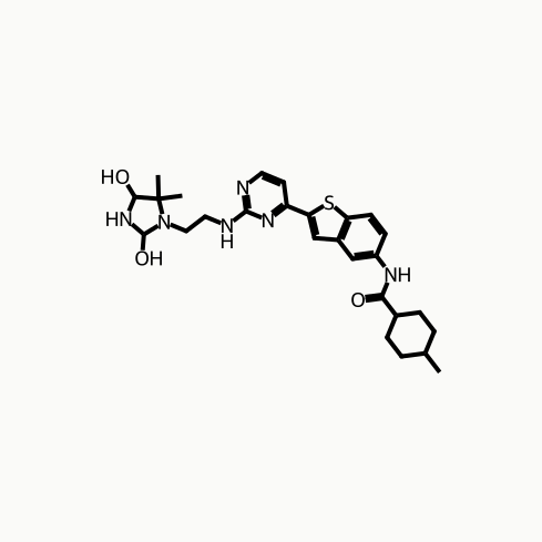 CC1CCC(C(=O)Nc2ccc3sc(-c4ccnc(NCCN5C(O)NC(O)C5(C)C)n4)cc3c2)CC1